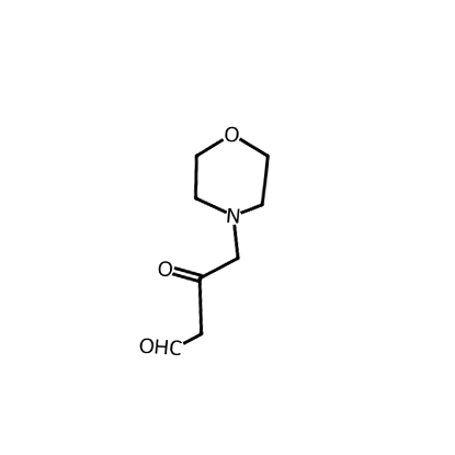 O=CCC(=O)CN1CCOCC1